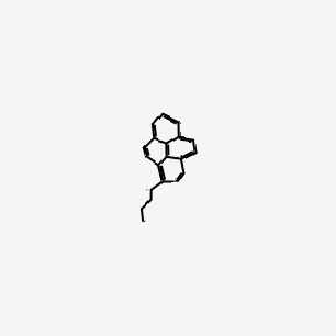 CCC[CH]c1ccc2ccc3cccc4ccc1c2c34